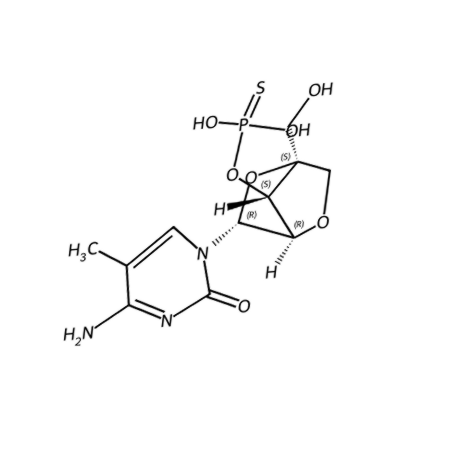 Cc1cn([C@@H]2O[C@@]3(CO)CO[C@@H]2[C@@H]3OP(O)(O)=S)c(=O)nc1N